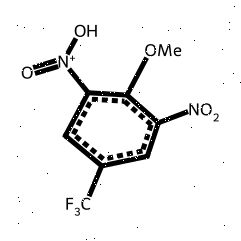 COc1c([N+](=O)[O-])cc(C(F)(F)F)cc1[N+](=O)O